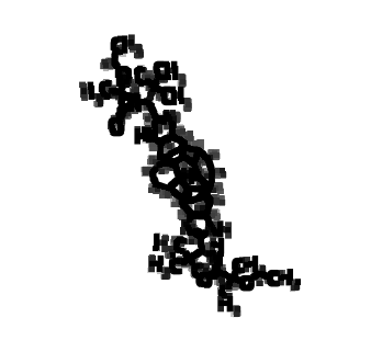 CCOC(C)(C)C(=O)N[C@H](c1nc2cc([C@@H]3CC4CCC3CCC3CCC(CC4)[C@H](c4ccc5[nH]c([C@@H](N6C(=O)C6(C)OCC)C(C)(C)C)nc5c4)C3)ccc2[nH]1)C(C)(C)C